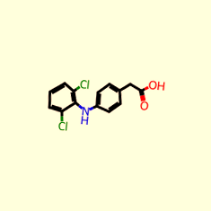 O=C(O)Cc1ccc(Nc2c(Cl)cccc2Cl)cc1